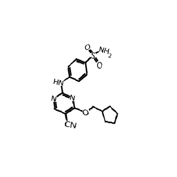 N#Cc1cnc(Nc2ccc(S(N)(=O)=O)cc2)nc1OCC1CCCC1